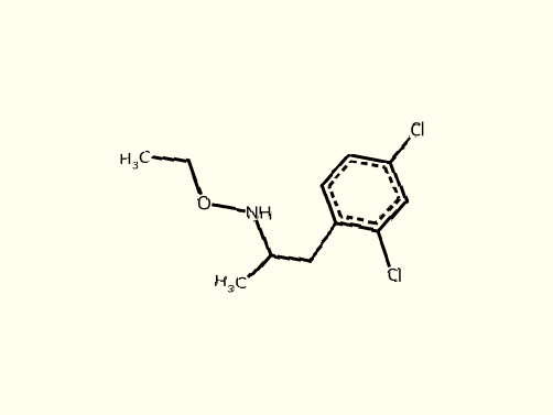 CCONC(C)Cc1ccc(Cl)cc1Cl